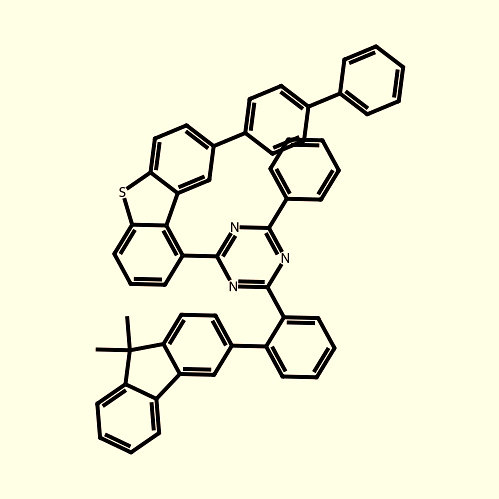 CC1(C)c2ccccc2-c2cc(-c3ccccc3-c3nc(-c4ccccc4)nc(-c4cccc5sc6ccc(-c7ccc(-c8ccccc8)cc7)cc6c45)n3)ccc21